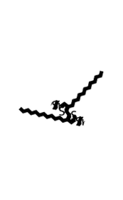 CCCCCCCCCCCCc1cc([Si](C)(C)C)sc1-c1sc([Si](C)(C)C)cc1CCCCCCCCCCCC